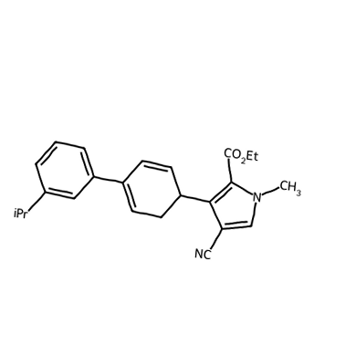 CCOC(=O)c1c(C2C=CC(c3cccc(C(C)C)c3)=CC2)c(C#N)cn1C